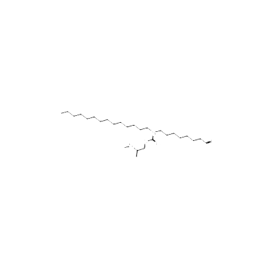 CCCCCCCCCCCCCCN(CCCCCCCC=O)C(=O)SCC(C)NC